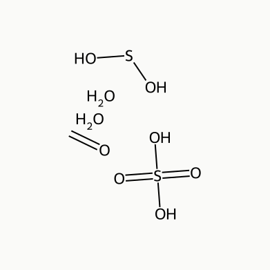 C=O.O.O.O=S(=O)(O)O.OSO